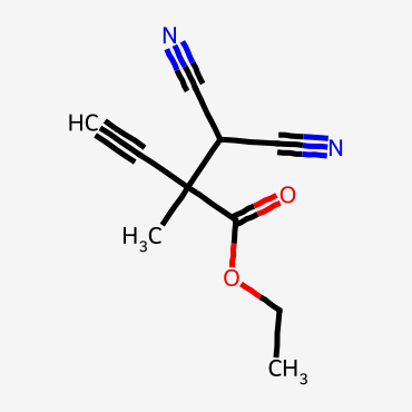 C#CC(C)(C(=O)OCC)C(C#N)C#N